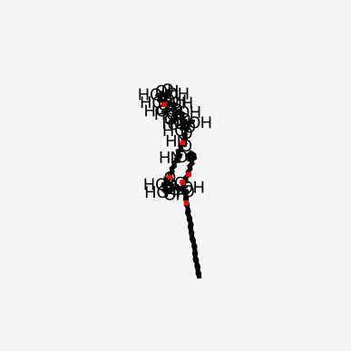 CC#CC#CC#CC#CC#CC#CC#CC#CC#CC#CC#CC#CC(=O)N[C@@H](COC1OC(COCCCCCCNC(=O)CCCC(=O)NCCOC2OC(CO)C(OC3OC(C(=O)O)C(O)C(OC4OC(CO)C(OC5OC(C(=O)O)C(O)C(O)C5O)C(O)C4O)C3O)C(O)C2O)C(O)C(O)C1O)[C@H](O)[C@H](O)CCCCCCCc1ccccc1